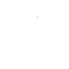 O=C(Oc1ccccc1)c1ccc[nH]c1=O